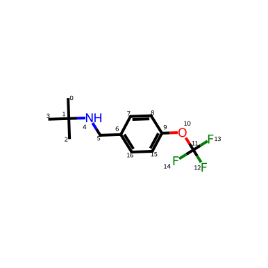 CC(C)(C)NCc1ccc(OC(F)(F)F)cc1